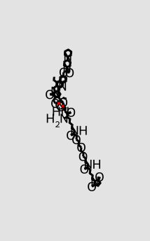 CCc1c2c(nc3ccc(OC(=O)N4CCC(N5CCCCC5)CC4)cc13)-c1cc3c(c(=O)n1C2)COC(=O)[C@@]3(CC)OC(=O)CNC(=O)C(N)CCCCNC(=O)COCCOCCOCCNC(=O)CCCCN1C(=O)C=CC1=O